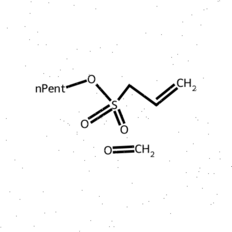 C=CCS(=O)(=O)OCCCCC.C=O